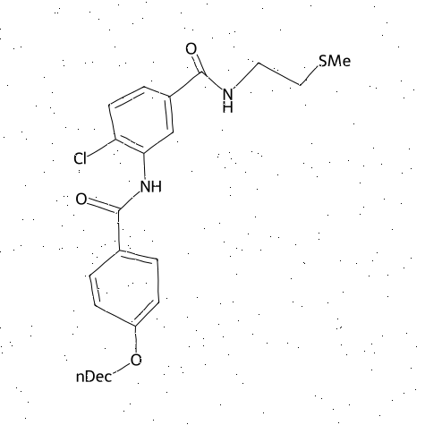 CCCCCCCCCCOc1ccc(C(=O)Nc2cc(C(=O)NCCSC)ccc2Cl)cc1